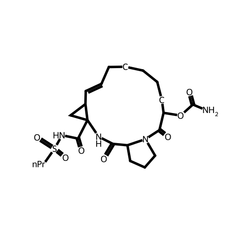 CCCS(=O)(=O)NC(=O)C12CC1/C=C/CCCCCC(OC(N)=O)C(=O)N1CCCC1C(=O)N2